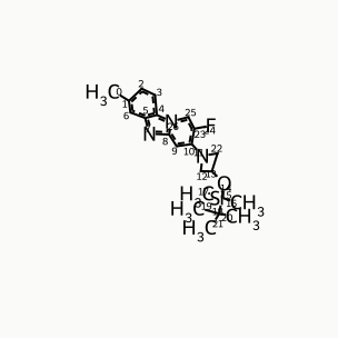 Cc1ccc2c(c1)nc1cc(N3CC(O[Si](C)(C)C(C)(C)C)C3)c(F)cn12